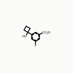 CCOC(=O)c1cc(F)cc(C2(O)CCC2)c1